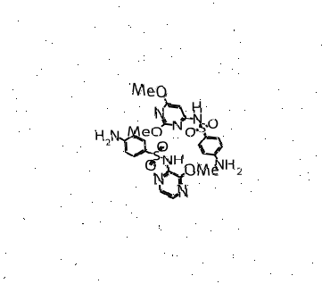 COc1cc(NS(=O)(=O)c2ccc(N)cc2)nc(OC)n1.COc1nccnc1NS(=O)(=O)c1ccc(N)cc1